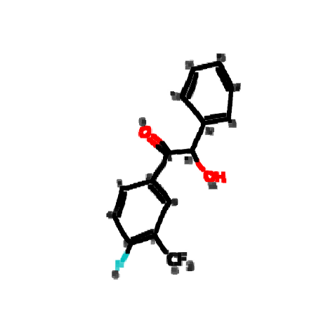 O=C(c1ccc(F)c(C(F)(F)F)c1)C(O)c1ccccc1